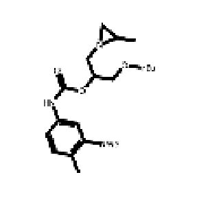 CCCCOCC(CN1CC1C)OC(=O)Nc1ccc(C)c(NC)c1